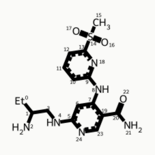 CCC(N)CNc1cc(Nc2cccc(S(C)(=O)=O)n2)c(C(N)=O)cn1